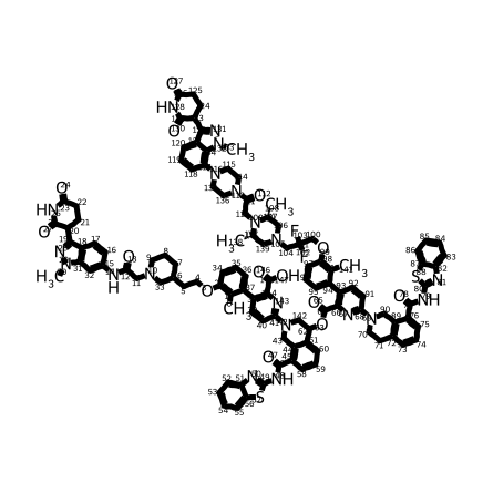 Cc1c(OCCC2CCCN(CC(=O)Nc3ccc4c(C5CCC(=O)NC5=O)nn(C)c4c3)C2)cccc1-c1ccc(N2Cc3c(C(=O)Nc4nc5ccccc5s4)cccc3C(OC(=O)c3nc(N4CCc5cccc(C(=O)Nc6nc7ccccc7s6)c5C4)ccc3-c3cccc(OCC(F)(F)CN4C[C@@H](C)N(CC(=O)N5CCN(c6cccc7c(C8CCC(=O)NC8=O)nn(C)c67)CC5)[C@@H](C)C4)c3C)C2)nc1C(=O)O